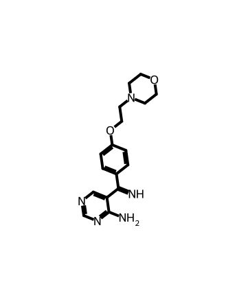 N=C(c1ccc(OCCN2CCOCC2)cc1)c1cncnc1N